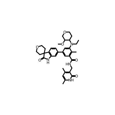 CCN(c1cc(-c2ccc3c(c2)NC(=O)C32CCOCC2)cc(C(=O)NCc2c(C)cc(C)[nH]c2=O)c1C)C1CCOCC1OC